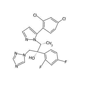 C[C@@H](n1nccc1-c1ccc(Cl)cc1Cl)[C@](O)(Cn1cncn1)c1ccc(F)cc1F